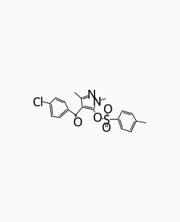 Cc1ccc(S(=O)(=O)Oc2c(C(=O)c3ccc(Cl)cc3)c(C)nn2C)cc1